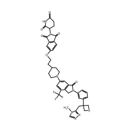 Cn1cnnc1CC1(c2cccc(N3Cc4c(cc(N5CCC(CCOc6ccc7c(c6)C(=O)N(C6CCC(=O)NC6=O)C7=O)CC5)cc4C(F)(F)F)C3=O)c2)COC1